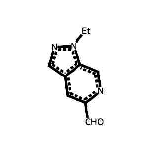 CCn1ncc2cc(C=O)ncc21